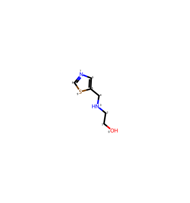 OCCNCc1cn[c]s1